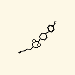 C=CCCCC1COC(C2CCC(c3ccc(F)cc3)CC2)OC1